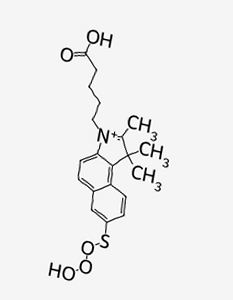 CC1=[N+](CCCCC(=O)O)c2ccc3cc(SOOO)ccc3c2C1(C)C